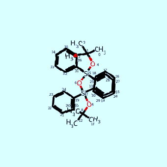 CC(C)(C)O[Si](O[Si](OC(C)(C)C)(c1ccccc1)c1ccccc1)(c1ccccc1)c1ccccc1